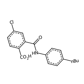 CCCCc1ccc(NC(=O)c2cc(Cl)ccc2C(=O)O)cc1